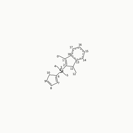 CC1=C([Si](C)(C)C2=CC=CC2)C(C)c2ccccc21